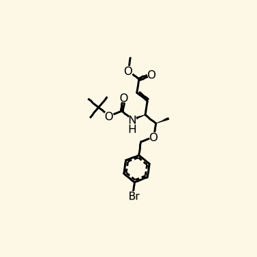 COC(=O)/C=C/[C@H](NC(=O)OC(C)(C)C)[C@@H](C)OCc1ccc(Br)cc1